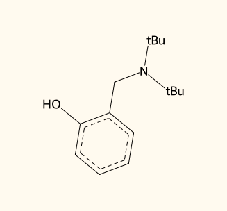 CC(C)(C)N(Cc1ccccc1O)C(C)(C)C